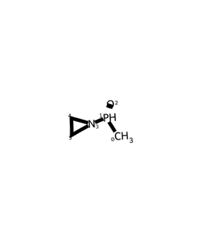 C[PH](=O)N1CC1